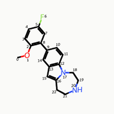 COc1ccc(F)cc1-c1ccc2c(c1)cc1n2CCNCC1